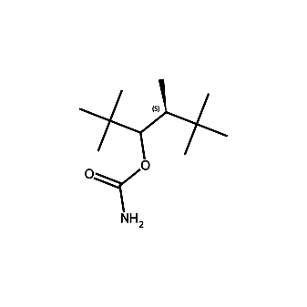 C[C@H](C(OC(N)=O)C(C)(C)C)C(C)(C)C